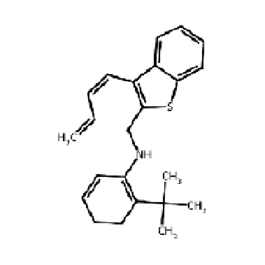 C=C/C=C\c1c(CNC2=C(C(C)(C)C)CCC=C2)sc2ccccc12